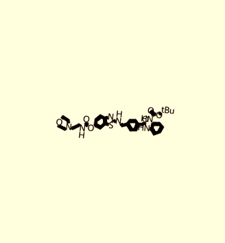 CC(C)(C)OC(=O)Nc1ccccc1NC(=O)c1ccc(CNc2nc3ccc(OC(=O)NCCN4CCOCC4)cc3s2)cc1